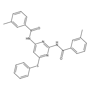 Cc1cccc(C(=O)Nc2cc(Sc3ccccc3)nc(NC(=O)c3cccc(C)c3)n2)c1